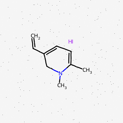 C=CC1=CC=C(C)N(C)C1.I